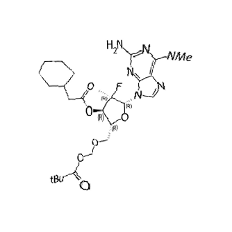 CNc1nc(N)nc2c1ncn2[C@@H]1O[C@H](COCOC(=O)C(C)(C)C)[C@@H](OC(=O)CC2CCCCC2)[C@@]1(C)F